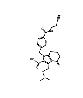 C#CCCNC(=O)c1ccc(Cn2c3c(c(CCN(C)C)c2C(=O)O)C(=O)CCC3)cc1